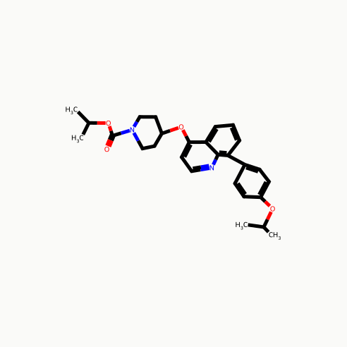 CC(C)OC(=O)N1CCC(Oc2ccnc3c(-c4ccc(OC(C)C)cc4)cccc23)CC1